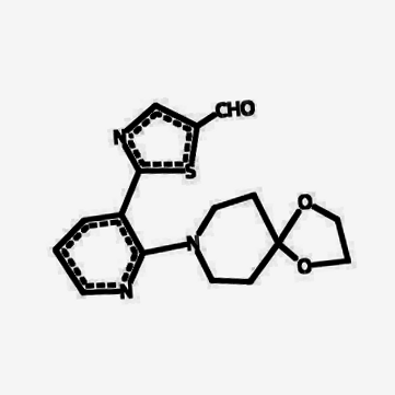 O=Cc1cnc(-c2cccnc2N2CCC3(CC2)OCCO3)s1